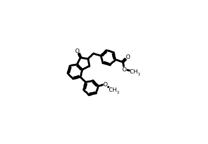 COC(=O)c1ccc(CC2Cc3c(cccc3-c3cccc(OC)c3)C2=O)cc1